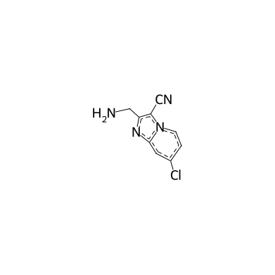 N#Cc1c(CN)nc2cc(Cl)ccn12